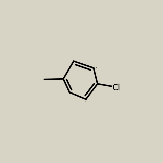 Cc1c[c]c(Cl)[c]c1